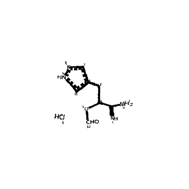 Cl.N=C(N)C(Cc1cn[nH]c1)OC=O